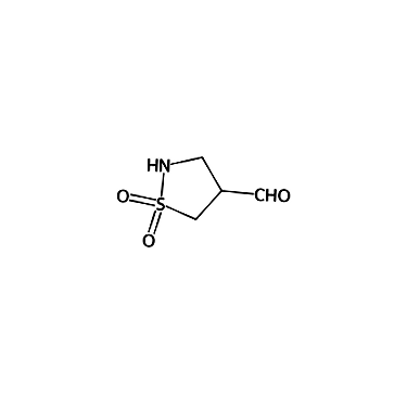 O=CC1CNS(=O)(=O)C1